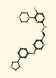 Fc1cnc(N/N=C/c2ccc(Nc3cccc(C4CCOC4)c3)cn2)nc1N1CCOCC1